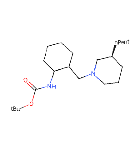 CCCCC[C@H]1CCCN(CC2CCCCC2NC(=O)OC(C)(C)C)C1